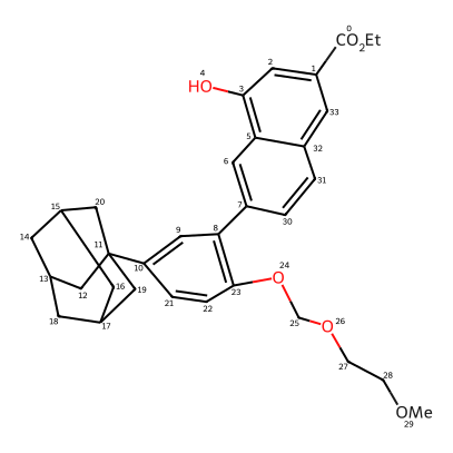 CCOC(=O)c1cc(O)c2cc(-c3cc(C45CC6CC(CC(C6)C4)C5)ccc3OCOCCOC)ccc2c1